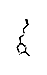 C=CCOCC1CO[C](C)S1